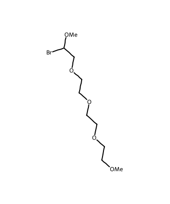 COCCOCCOCCOCC(Br)OC